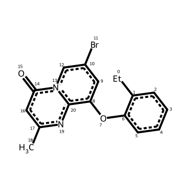 CCc1ccccc1Oc1cc(Br)cn2c(=O)cc(C)nc12